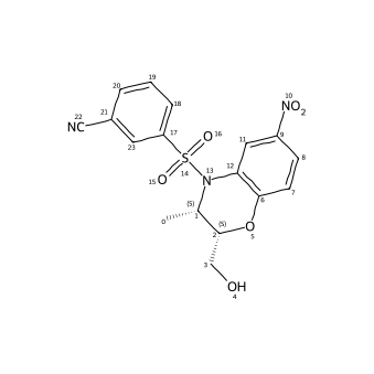 C[C@H]1[C@@H](CO)Oc2ccc([N+](=O)[O-])cc2N1S(=O)(=O)c1cccc(C#N)c1